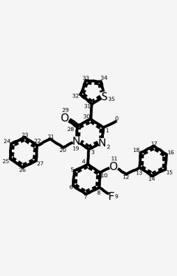 Cc1nc(-c2cccc(F)c2OCc2ccccc2)n(CCc2ccccc2)c(=O)c1-c1cccs1